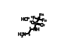 Cl.NCCNS(=O)(=O)C(F)(F)F